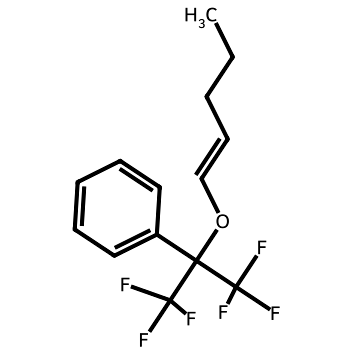 CCCC=COC(c1ccccc1)(C(F)(F)F)C(F)(F)F